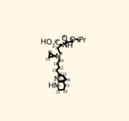 CC(C)OCC(=O)NC(CCN(CCCCc1ccc2c(n1)NCCC2)C1CC1)C(=O)O